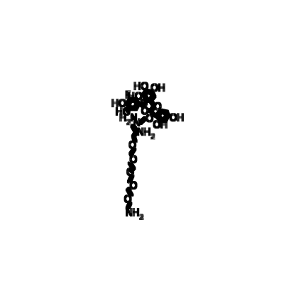 NCCOCCOCCOCCOCCOCC/C(N)=C/N(N)CCOC1c2c(O)cc(O)cc2OC(c2cc(O)c(O)c(O)c2)C1OC(=O)c1cc(O)c(O)c(F)c1